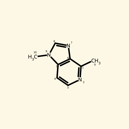 Cc1nccc2c1ncn2C